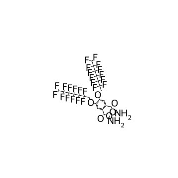 NOC(=O)c1cc(OCC(F)(F)C(F)(F)C(F)(F)C(F)(F)C(F)(F)C(F)F)c(OCC(F)(F)C(F)(F)C(F)(F)C(F)(F)C(F)(F)C(F)F)cc1C(=O)ON